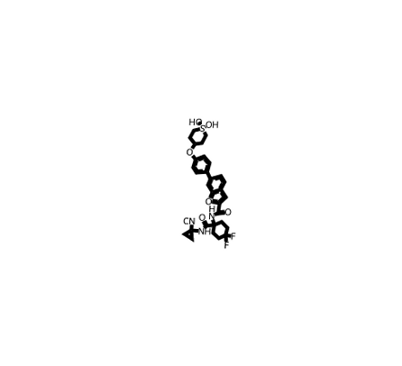 N#CC1(NC(=O)C2(NC(=O)c3cc4ccc(-c5ccc(OC6CCS(O)(O)CC6)cc5)cc4o3)CCC(F)(F)CC2)CC1